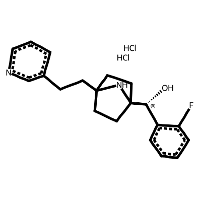 Cl.Cl.O[C@H](c1ccccc1F)C12CCC(CCc3cccnc3)(CC1)N2